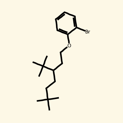 CC(C)(C)CCC(CCOc1ccccc1Br)C(C)(C)C